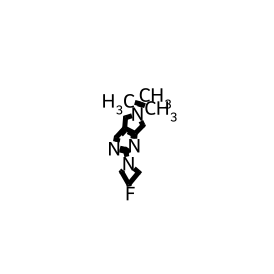 CC(C)(C)N1Cc2cnc(N3CC(F)C3)nc2C1